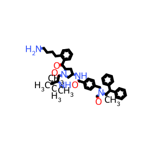 CNC(C(=O)N1CC(NC(=O)c2ccc(CN(C=O)C(C)C(c3ccccc3)c3ccccc3)cc2)CC1C(=O)c1ccccc1CCCCN)C(C)(C)C